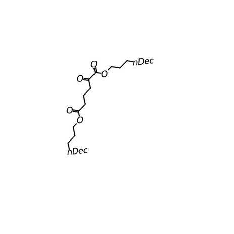 CCCCCCCCCCCCCOC(=O)CCCC(=O)C(=O)OCCCCCCCCCCCCC